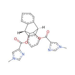 Cn1cnc(C(=O)OC2C(OC(=O)c3cn(C)cn3)[C@H]3c4ccccc4[C@H]2c2ccccc23)c1